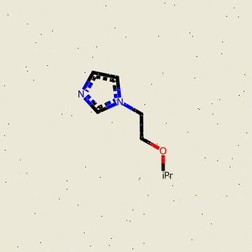 [CH2]C(C)OCCn1ccnc1